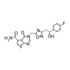 NC(=O)c1csc2ncn(Cc3nc(C[C@H](O)c4ccc(F)cc4)no3)c(=O)c12